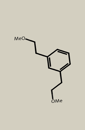 COCCc1cccc(CCOC)c1